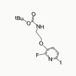 CC(C)(C)OC(=O)NCCOc1ccc(I)nc1F